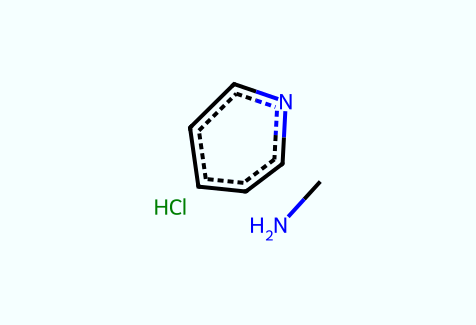 CN.Cl.c1ccncc1